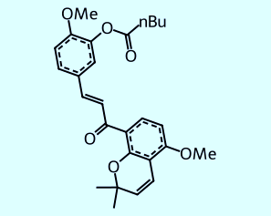 CCCCC(=O)Oc1cc(C=CC(=O)c2ccc(OC)c3c2OC(C)(C)C=C3)ccc1OC